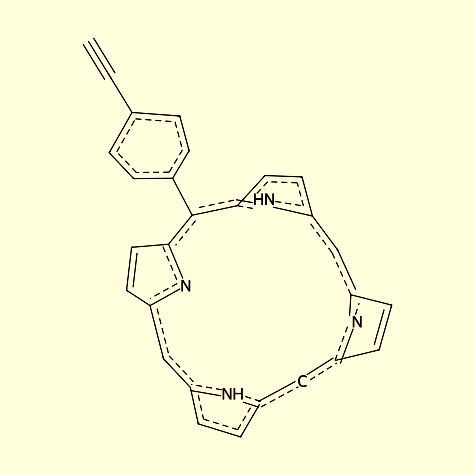 C#Cc1ccc(-c2c3nc(cc4ccc(cc5nc(cc6ccc2[nH]6)C=C5)[nH]4)C=C3)cc1